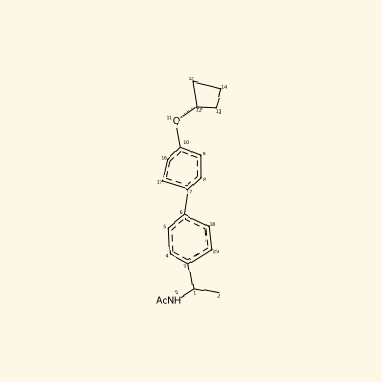 CC(=O)NC(C)c1ccc(-c2ccc(OC3CCC3)cc2)cc1